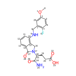 COc1ccc(F)c(CNc2cccc3c2CN([C@@H](CCC(=O)O)C(N)=O)C3=O)c1